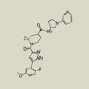 COc1cc(-c2cc(C(=O)N3CC[C@H](C(=O)N[C@H]4CCN(c5cccnc5)C4)CC34CC4)n[nH]2)c(F)cn1